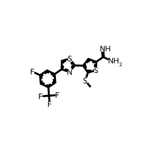 CSc1sc(C(=N)N)cc1-c1nc(-c2cc(F)cc(C(F)(F)F)c2)cs1